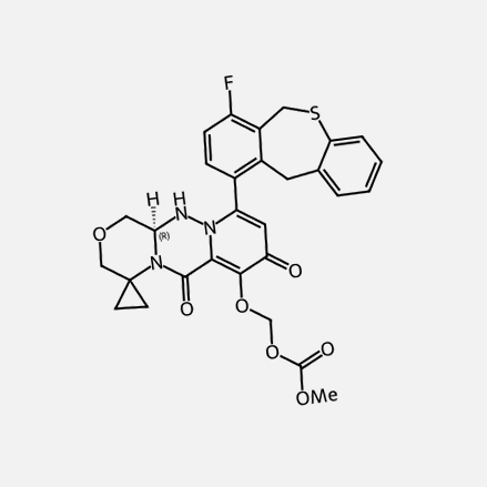 COC(=O)OCOc1c2n(c(-c3ccc(F)c4c3Cc3ccccc3SC4)cc1=O)N[C@@H]1COCC3(CC3)N1C2=O